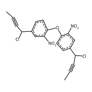 CC#CC(Cl)c1ccc(Oc2ccc(C(Cl)C#CC)cc2[N+](=O)[O-])c([N+](=O)[O-])c1